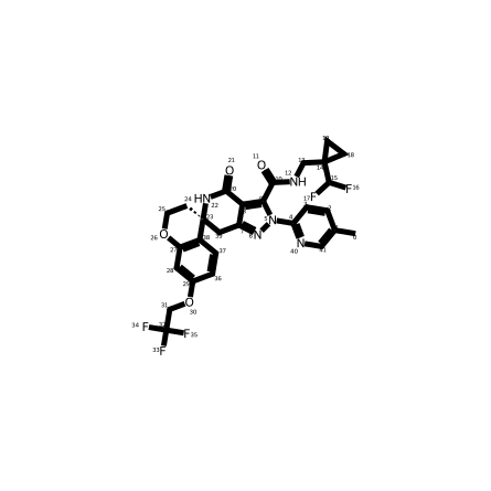 Cc1ccc(-n2nc3c(c2C(=O)NCC2(C(F)F)CC2)C(=O)N[C@@]2(CCOc4cc(OCC(F)(F)F)ccc42)C3)nc1